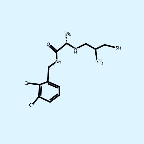 CCC(C)[C@H](NCC(N)CS)C(=O)NCc1cccc(Cl)c1Cl